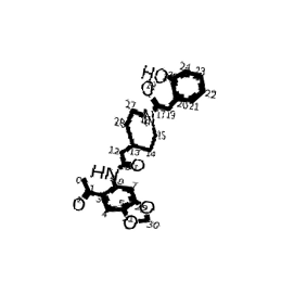 CC(=O)c1cc2c(cc1NC(=O)CC1CCN(C(=O)Cc3ccccc3O)CC1)OCO2